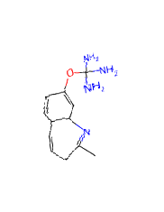 CC1=NC2C=C(OC(N)(N)N)C=CC2C=CC1